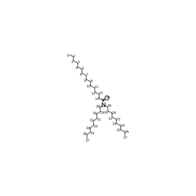 CCCCCCCCCCCCCCCC(=O)N(CCCCCCCCCC)CCCCCCCCCC